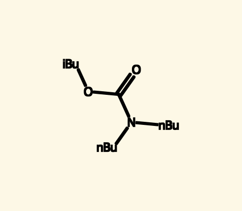 CCCCN(CCCC)C(=O)OC(C)CC